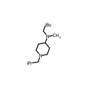 CCC(C)CN(C)C1CCN(CC(C)C)CC1